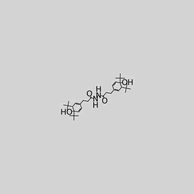 CC(C)(C)C1C=C(CCC(=O)NNC(=O)CCC2=CC(C(C)(C)C)C(O)(C(C)(C)C)C=C2)C=CC1(O)C(C)(C)C